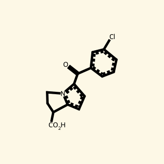 O=C(c1cccc(Cl)c1)c1ccc2n1CCC2C(=O)O